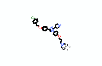 CCN(CC)CCCOc1ccc(-n2cc(-c3ccc(OCCc4ccc(Cl)cc4)cc3)nc2C2CCNCC2)cc1